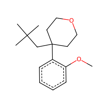 COc1ccccc1C1(CC(C)(C)C)CCOCC1